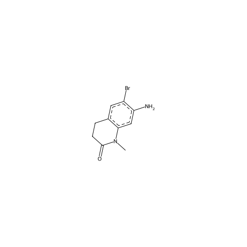 CN1C(=O)CCc2cc(Br)c(N)cc21